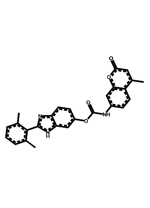 Cc1cccc(C)c1-c1nc2ccc(OC(=O)Nc3ccc4c(C)cc(=O)oc4c3)cc2[nH]1